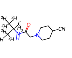 [2H]C([2H])([2H])C(C)(NC(=O)CN1CCC(C#N)CC1)C([2H])([2H])[2H]